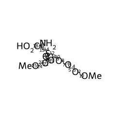 COCCOCCOCCOCC(CSCC[C@H](N)C(=O)O)OC(=O)OCCOC